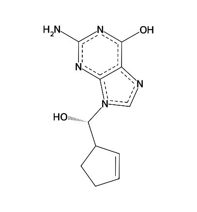 Nc1nc(O)c2ncn([C@@H](O)C3C=CCC3)c2n1